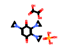 O=C(O)C(=O)O.O=C1C=C(N2CC2)C(=O)C(N2CC2)=C1N1CC1.O=P(O)(O)O